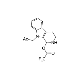 CC(=O)Cn1c2c(c3ccccc31)CCNC2OC(=O)C(F)(F)F